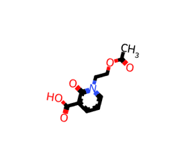 CC(=O)OCCn1cccc(C(=O)O)c1=O